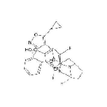 O=C(O)c1cc(F)c(N2C3CC[C@H]2CC(OCc2c(-c4ccccc4OC(F)(F)F)noc2C2CC2)C3)c(F)c1